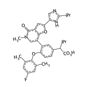 Cc1cc(F)cc(C)c1Oc1ccc(C(C(=O)O)C(C)C)cc1-c1cn(C)c(=O)c2cc(-c3cnc(C(C)C)[nH]3)oc12